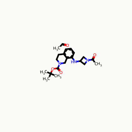 CC(=O)N1CC(Nc2cccc3c2CN(C(=O)OC(C)(C)C)CC3)C1.CC=O